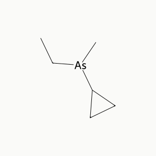 CC[As](C)C1CC1